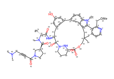 CCn1c(-c2cccnc2COC)c2c3cc(ccc31)-c1cc(O)cc(c1)C[C@H](NC(=O)[C@@H](C(C)C)N(C)C(=O)[C@H]1CCN(C(=O)C#CCN(C)C)C1)C(=O)N1CCC[C@@](O)(N1)C(=O)OCC(C)(C)C2